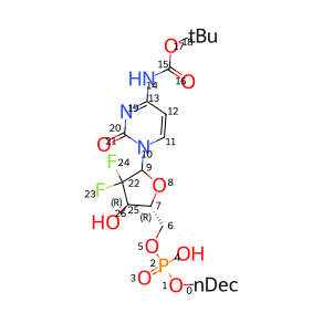 CCCCCCCCCCOP(=O)(O)OC[C@H]1OC(n2ccc(NC(=O)OC(C)(C)C)nc2=O)C(F)(F)[C@@H]1O